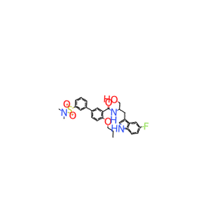 CCCOc1ccc(-c2cccc(S(=O)(=O)N(C)C)c2)cc1C(=O)NC(CO)Cc1c[nH]c2ccc(F)cc12